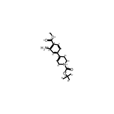 COC(=O)c1ccc(C2=CCN(C(=O)OC(C)(C)C)CC2)cc1N